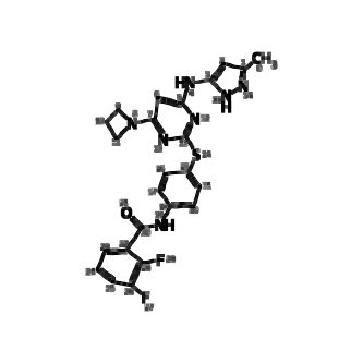 Cc1cc(Nc2cc(N3CCC3)nc(Sc3ccc(NC(=O)c4cccc(F)c4F)cc3)n2)[nH]n1